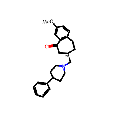 COc1ccc2c(c1)C(=O)C[C@H](CN1CCC(c3ccccc3)CC1)CC2